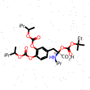 CCC(C)(C)OC(=O)O[C@](Cc1ccc(OC(=O)OC(C)C(C)C)c(OC(=O)OC(C)C(C)C)c1)(NC(C)C)C(=O)O